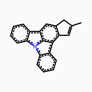 CC1=Cc2c(cc3c4ccccc4n4c5ccccc5c2c34)C1